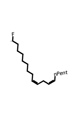 CCCCC/C=C\C/C=C\CCCCCCC[CH]F